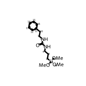 CO[Si](CCCNC(=O)NCCc1ccccc1)(OC)OC